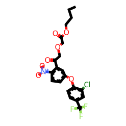 CCCCOC(=O)COCC(=O)c1cc(Oc2ccc(C(F)(F)F)cc2Cl)ccc1[N+](=O)[O-]